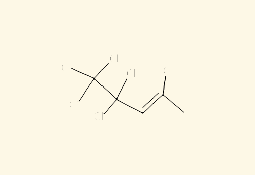 ClC(Cl)=CC(Cl)(Cl)C(Cl)(Cl)Cl